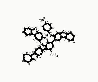 Cc1cc(-c2cc3c(cc2Nc2ccc(C(C)(C)C)cc2)oc2ccccc23)c2c3c1c1cc4oc5ccccc5c4cc1n3-c1cc3c(cc1B2)oc1ccccc13